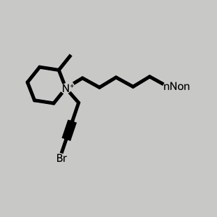 CCCCCCCCCCCCCC[N+]1(CC#CBr)CCCCC1C